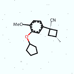 COc1ccc([C@]2(C#N)C[C@@H](C)C2)cc1OC1CCCC1